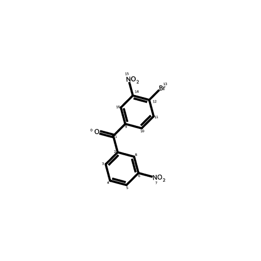 O=C(c1cccc([N+](=O)[O-])c1)c1ccc(Br)c([N+](=O)[O-])c1